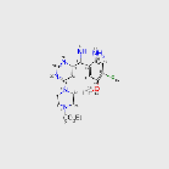 CCOC(=O)N1CCN(c2cc(C(=N)c3cc(OC(C)C)c(F)cc3N)ncn2)CC1